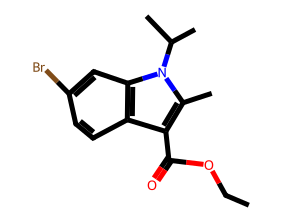 CCOC(=O)c1c(C)n(C(C)C)c2cc(Br)ccc12